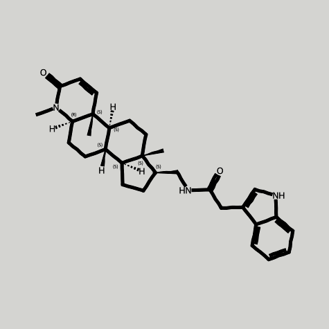 CN1C(=O)C=C[C@]2(C)[C@H]3CC[C@]4(C)[C@@H](CNC(=O)Cc5c[nH]c6ccccc56)CC[C@H]4[C@@H]3CC[C@@H]12